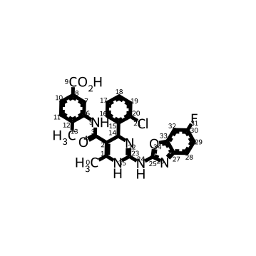 CC1=C(C(=O)Nc2cc(C(=O)O)ccc2C)C(c2ccccc2Cl)N=C(Nc2nc3ccc(F)cc3o2)N1